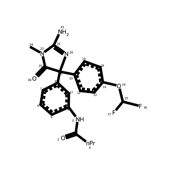 CCCC(=O)Nc1cccc(C2(c3ccc(OC(F)F)cc3)N=C(N)N(C)C2=O)c1